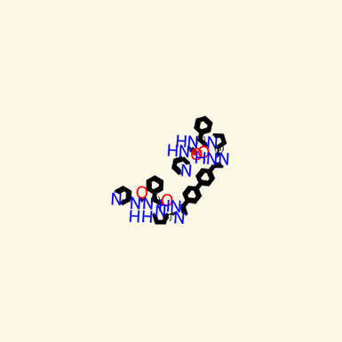 O=C(Nc1cccnc1)N[C@@H](C(=O)N1CCC[C@H]1c1ncc(-c2ccc(-c3ccc(-c4cnc([C@@H]5CCCN5C(=O)[C@H](NC(=O)Nc5cccnc5)c5ccccc5)[nH]4)cc3)cc2)[nH]1)c1ccccc1